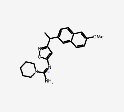 COc1ccc2cc(C(C)c3cc(/N=C(/N)N4CCCCC4)on3)ccc2c1